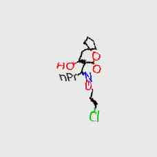 CCCC(=NOCC=CCl)C1=C(O)CC2(CCCC2)OC1=O